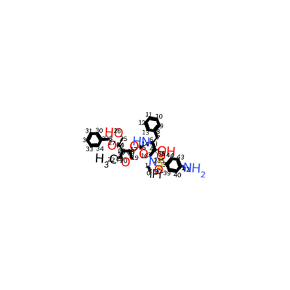 CC(C)CN(C[C@@H](O)[C@H](Cc1ccccc1)NC(=O)O[C@H]1CO[C@@H](C)[C@H]1[C@H](CO)OCc1ccccc1)S(=O)(=O)c1ccc(N)cc1